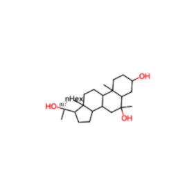 CCCCCC[C@](C)(O)C1CCC2C3CC(C)(O)C4CC(O)CCC4(C)C3CCC21C